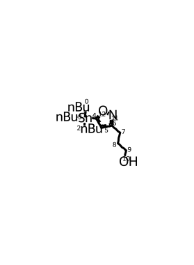 CCC[CH2][Sn]([CH2]CCC)([CH2]CCC)[c]1cc(CCCO)no1